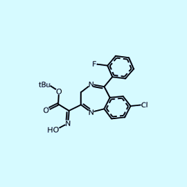 CC(C)(C)OC(=O)C(=NO)C1=Nc2ccc(Cl)cc2C(c2ccccc2F)=NC1